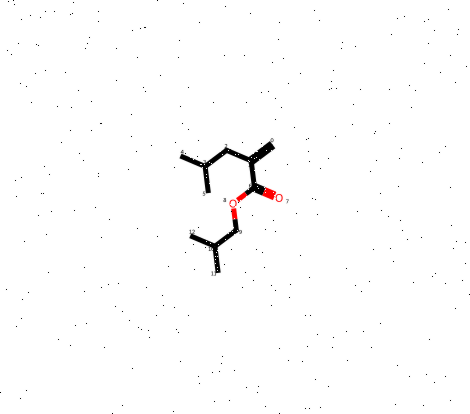 C=C(CC(C)C)C(=O)OCC(C)C